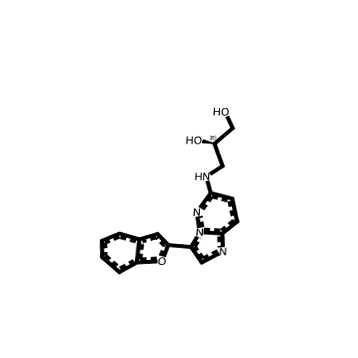 OC[C@H](O)CNc1ccc2ncc(-c3cc4ccccc4o3)n2n1